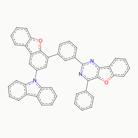 c1ccc(-c2nc(-c3cccc(-c4cc(-n5c6ccccc6c6ccccc65)cc5c4oc4ccccc45)c3)nc3c2oc2ccccc23)cc1